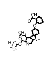 COCc1c(C(=O)OC(C)C)ncc2[nH]c3ccc(Oc4ccccc4C(C)=O)cc3c12